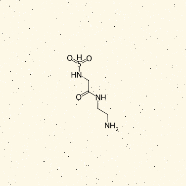 NCCNC(=O)CN[SH](=O)=O